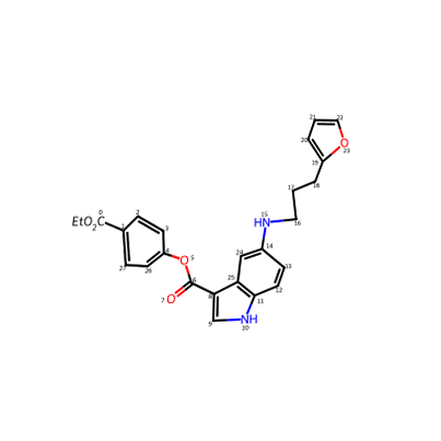 CCOC(=O)c1ccc(OC(=O)c2c[nH]c3ccc(NCCCc4ccco4)cc23)cc1